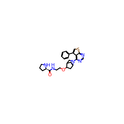 O=C(NCCOC1CC2CC1CN2c1ncnc2scc(-c3ccccc3)c12)[C@H]1CCCN1